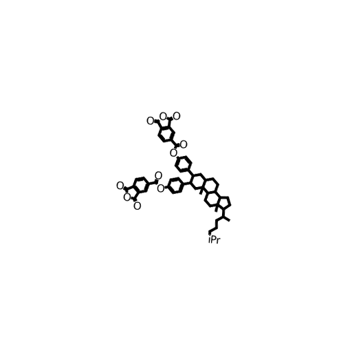 CC(C)CCCC(C)C1CCC2C3CCC4CC(c5ccc(OC(=O)c6ccc7c(c6)C(=O)OC7=O)cc5)C(c5ccc(OC(=O)c6ccc7c(c6)C(=O)OC7=O)cc5)CC4(C)C3CCC12C